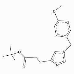 COc1ccc(Cn2cnc(CCC(=O)OC(C)(C)C)c2)cc1